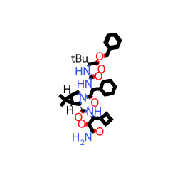 CC(C)(C)[C@@H](NC(=O)N[C@H](C(=O)N1C[C@H]2[C@@H]([C@H]1C(=O)NC(C(=O)C(N)=O)C1CCC1)C2(C)C)C1CCCCC1)C(=O)OCc1ccccc1